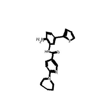 Nc1ccc(-c2cccs2)cc1NC(=O)c1ccc(N2CC[CH]CC2)nc1